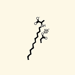 CCC(=O)[O-].CCCCCCCCCCCCNC(C)C(=O)[O-].[Na+].[Na+]